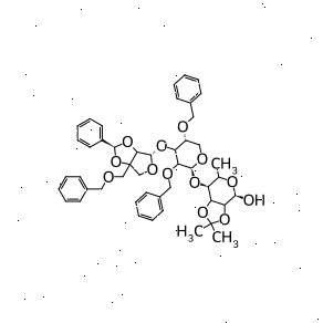 CC1O[C@@H](O)C2OC(C)(C)OC2[C@H]1O[C@@H]1OC[C@@H](OCc2ccccc2)C(O[C@@H]2OCC3(COCc4ccccc4)O[C@@H](c4ccccc4)OC23)C1OCc1ccccc1